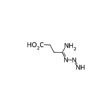 N=N/N=C(\N)CCC(=O)O